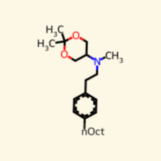 CCCCCCCCc1ccc(CCN(C)C2COC(C)(C)OC2)cc1